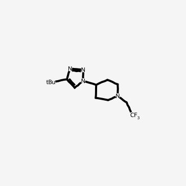 CC(C)(C)c1cn(C2CCN(CC(F)(F)F)CC2)nn1